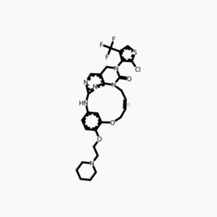 O=C1N2C/C=C\COc3cc(ccc3OCCN3CCCCC3)Nc3ncc(c2n3)CN1c1c(C(F)(F)F)csc1Cl